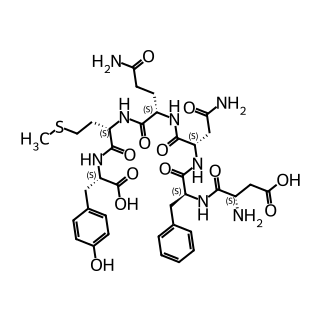 CSCC[C@H](NC(=O)[C@H](CCC(N)=O)NC(=O)[C@H](CC(N)=O)NC(=O)[C@H](Cc1ccccc1)NC(=O)[C@@H](N)CC(=O)O)C(=O)N[C@@H](Cc1ccc(O)cc1)C(=O)O